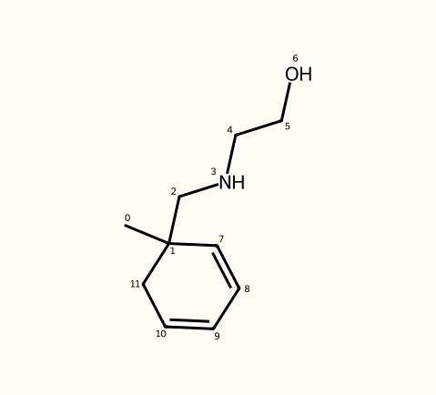 CC1(CNCCO)C=CC=CC1